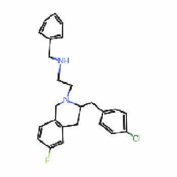 Fc1ccc2c(c1)CC(Cc1ccc(Cl)cc1)N(CCNCc1ccccc1)C2